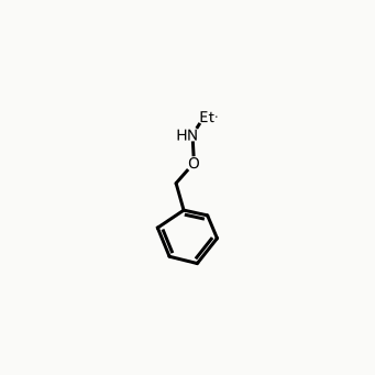 C[CH]NOCc1ccccc1